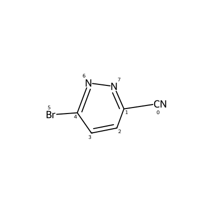 N#Cc1ccc(Br)nn1